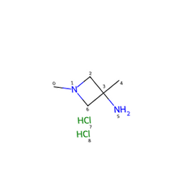 CN1CC(C)(N)C1.Cl.Cl